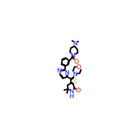 CN(C)C1CCN(C(=O)c2cccc(-c3nccc(-c4c(N5CCOCC5)sc5c4CC(C)(C)NC5=O)n3)c2)CC1